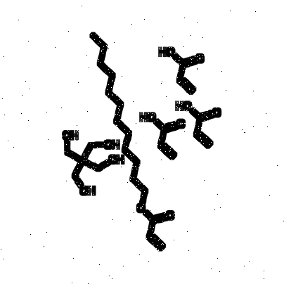 C=CC(=O)O.C=CC(=O)O.C=CC(=O)O.C=CC(=O)OCCCCCCCCCCCC.OCC(CO)(CO)CO